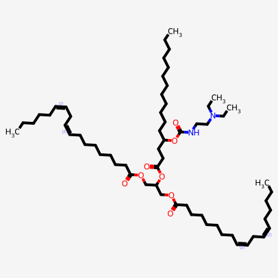 CCCCC/C=C\C/C=C\CCCCCCCC(=O)OCC(COC(=O)CCCCCCC/C=C\C/C=C\CCCCC)OC(=O)CCC(CCCCCCCCCCCC)OC(=O)NCCN(CC)CC